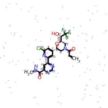 C=CC(=O)N1C[C@H](c2cc(Cl)nc(-c3cc(C(=O)NC)ncn3)c2)O[C@@H]([C@H](O)C(F)(F)F)C1